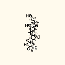 O=c1[nH]c(=O)n(-c2cc(Cl)c(Cc3cc(S(=O)(=O)N[C@H]4C[C@H](O)C4)c(O)cn3)c(Cl)c2)nc1C(F)F